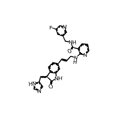 O=C1Nc2cc(C=CCNc3ncccc3C(=O)NCc3cncc(F)c3)ccc2C1=Cc1cnc[nH]1